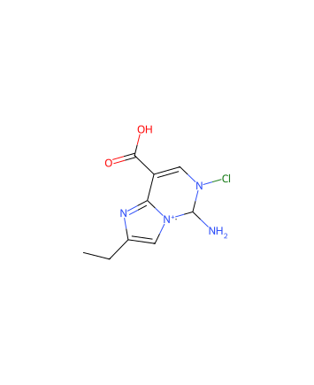 CCC1=C[N+]2C(=N1)C(C(=O)O)=CN(Cl)C2N